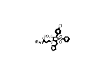 CC(C)(C)OC(=O)CCS[C@@H]1C(CC2CCCC2)N(S(=O)(=O)c2ccccc2)C(c2ccc(Cl)cc2)[C@@H]1C(=O)O